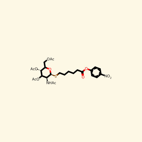 CC(=O)N[C@H]1C(OC(C)=O)[C@H](OC(C)=O)C(COC(C)=O)O[C@H]1SCCCCCC(=O)Oc1ccc([N+](=O)[O-])cc1